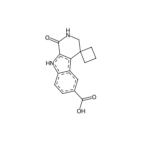 O=C(O)c1ccc2[nH]c3c(c2c1)C1(CCC1)CNC3=O